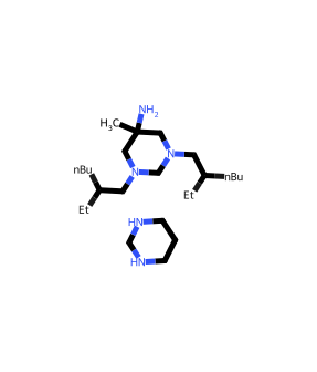 C1CNCNC1.CCCCC(CC)CN1CN(CC(CC)CCCC)CC(C)(N)C1